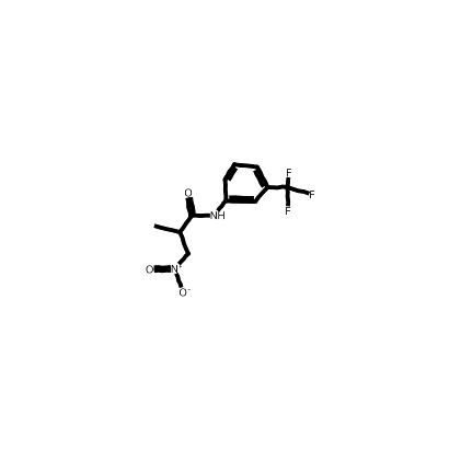 CC(C[N+](=O)[O-])C(=O)Nc1cccc(C(F)(F)F)c1